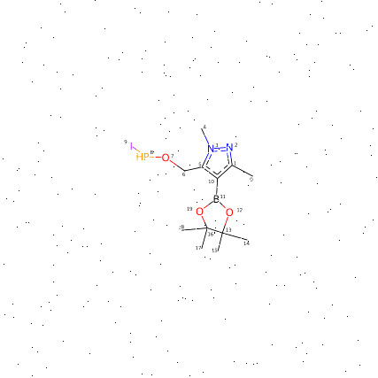 Cc1nn(C)c(COPI)c1B1OC(C)(C)C(C)(C)O1